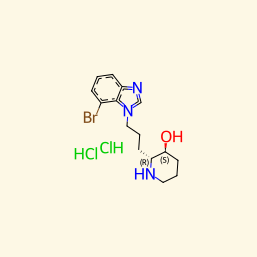 Cl.Cl.O[C@H]1CCCN[C@@H]1CCCn1cnc2cccc(Br)c21